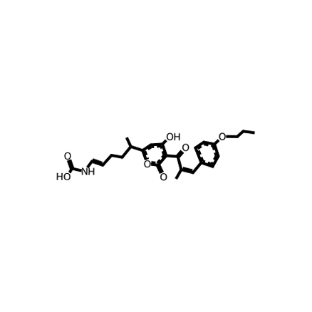 CCCOc1ccc(C=C(C)C(=O)c2c(O)cc(C(C)CCC=CNC(=O)O)oc2=O)cc1